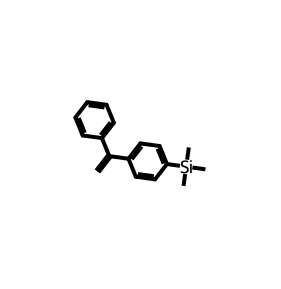 C=C(c1ccccc1)c1ccc([Si](C)(C)C)cc1